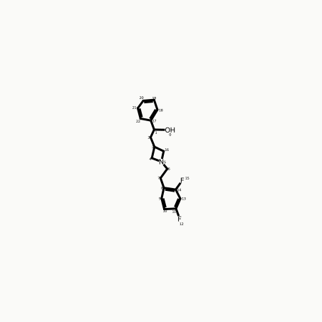 OC(CC1CN(CCc2ccc(F)cc2F)C1)c1ccccc1